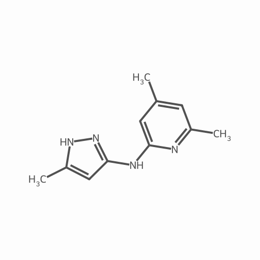 Cc1cc(C)nc(Nc2cc(C)[nH]n2)c1